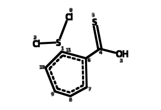 ClSCl.OC(=S)c1ccccc1